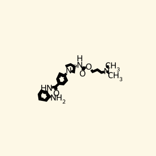 CN(C)CCCOC(=O)N[C@H]1CCN(c2ccc(C(=O)Nc3ccccc3N)cc2)C1